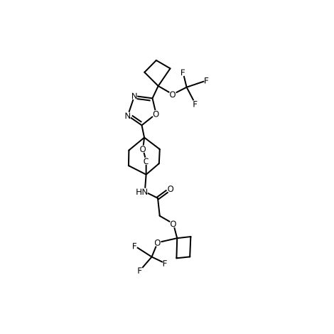 O=C(COC1(OC(F)(F)F)CCC1)NC12CCC(c3nnc(C4(OC(F)(F)F)CCC4)o3)(CC1)OC2